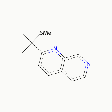 CSC(C)(C)c1ccc2ccncc2n1